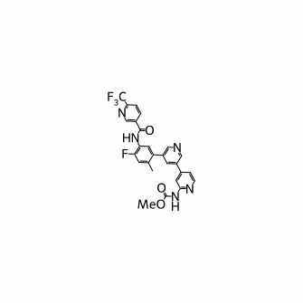 COC(=O)Nc1cc(-c2cncc(-c3cc(NC(=O)c4ccc(C(F)(F)F)nc4)c(F)cc3C)c2)ccn1